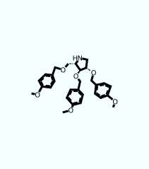 COc1ccc(COC[C@@H]2NC[C@H](OCc3ccc(OC)cc3)[C@H]2OCc2ccc(OC)cc2)cc1